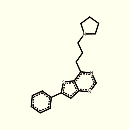 c1ccc(-c2cc3ncnc(CCCN4CCCC4)c3s2)cc1